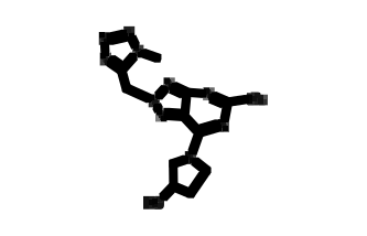 Cn1nnnc1Cn1nc2nc(C(C)(C)C)nc(N3CCC(O)C3)c2n1